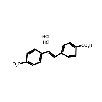 Cl.Cl.O=C(O)c1ccc(C=Cc2ccc(C(=O)O)cc2)cc1